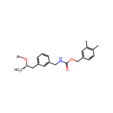 Cc1ccc(COC(=O)NCc2cccc(C[C@H](OC(C)C)C(=O)O)c2)cc1C